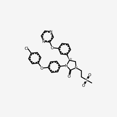 CS(=O)(=O)CCN1C[C@H](c2cccc(Oc3cnccn3)c2)N(c2ccc(Oc3ccc(Cl)cc3)cc2)C1=O